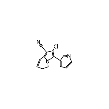 N#Cc1c(Cl)c(-c2cccnc2)n2c1C=CCC2